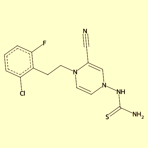 N#CC1=CN(NC(N)=S)C=CN1CCc1c(F)cccc1Cl